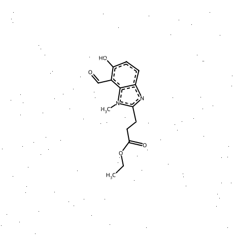 CCOC(=O)CCc1nc2ccc(O)c(C=O)c2n1C